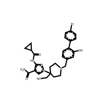 CCc1ccc(-c2ccc(CN3CCC(CC#N)(n4cc(C(N)=O)c(NC(=O)C5CC5)n4)CC3)cc2O)cc1